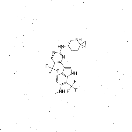 CNc1ccc2c(-c3nc(NC4CCC5(CC5)NC4)ncc3C(F)(F)F)c[nH]c2c1C(F)(F)F